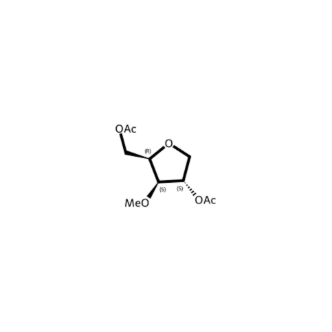 CO[C@@H]1[C@@H](OC(C)=O)CO[C@@H]1COC(C)=O